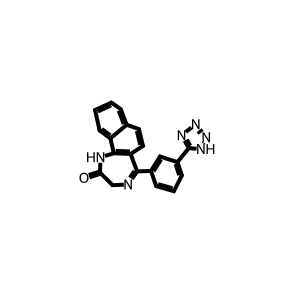 O=C1CN=C(c2cccc(-c3nnn[nH]3)c2)c2ccc3ccccc3c2N1